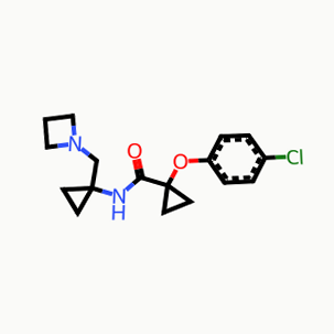 O=C(NC1(CN2CCC2)CC1)C1(Oc2ccc(Cl)cc2)CC1